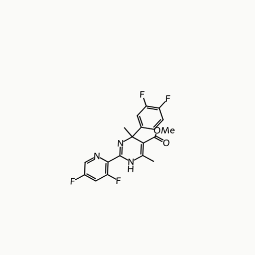 COC(=O)C1=C(C)NC(c2ncc(F)cc2F)=NC1(C)c1ccc(F)c(F)c1